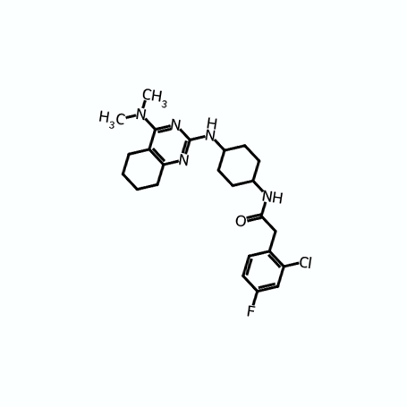 CN(C)c1nc(NC2CCC(NC(=O)Cc3ccc(F)cc3Cl)CC2)nc2c1CCCC2